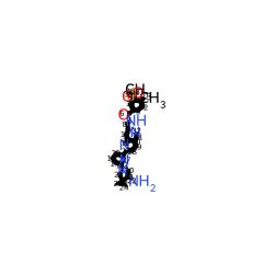 Cc1ccc(C(=O)NCc2cc3nc(-c4cccc(N5C[C@@H](N)C6(CC6)C5)n4)ccc3cn2)cc1S(C)(=O)=O